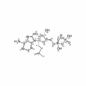 C=C(C)CC[C@@]1(n2cnc3c(N)ncnc32)O[C@H](COP(=O)(O)OP(=O)(O)O)[C@@H](O)[C@H]1O